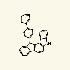 c1ccc(-c2ccc(-n3c4ccccc4c4ccc5[nH]c6ccccc6c5c43)cc2)cc1